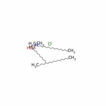 CCCCCCCCCCCCC(CCCC)CCCCCCCCCO.CCCCCCCCCCCCCCCC[N+](C)(C)C.[Cl-]